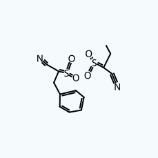 CCC(C#N)=S(=O)=O.N#CC(Cc1ccccc1)=S(=O)=O